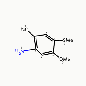 COc1cc(N)c(C#N)cc1SC